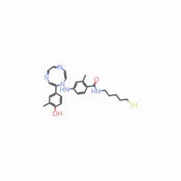 Cc1cc(-c2cnccnccn2Nc2ccc(C(=O)NCCCCCS)c(C)c2)ccc1O